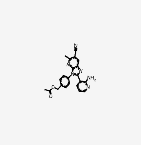 CC(=O)OCc1ccc(-n2c(-c3cccnc3N)nc3cc(C#N)c(C)nc32)cc1